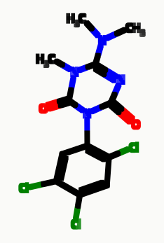 CN(C)c1nc(=O)n(-c2cc(Cl)c(Cl)cc2Cl)c(=O)n1C